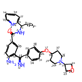 CC(C)C(NC(=O)c1ccc(N)c(C(=N)c2ccc(OC3CCN(C4COC4)CC3)cc2)c1)c1ccccn1